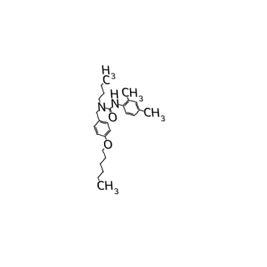 CCCCCCOc1ccc(CN(CCCC)C(=O)Nc2ccc(C)cc2C)cc1